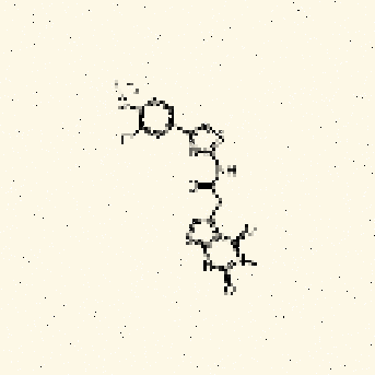 Cn1c(=O)[nH]c2scc(CC(=O)Nc3nc(-c4ccc(OC(F)(F)F)c(F)c4)cs3)c2c1=O